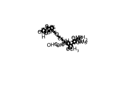 COc1cc(-c2cn(C)c(=O)c3c2CCN(C(=O)NCCOCCOCCNc2cccc4c2C(=O)N(C2CCC(=O)NC2=O)C4=O)C3)cc(OC)c1CN(C)C.O=CO